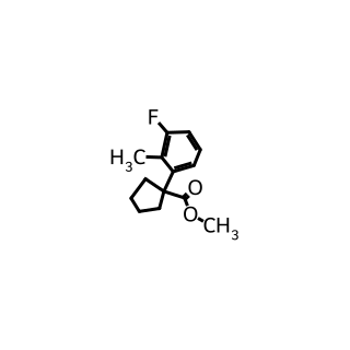 COC(=O)C1(c2cccc(F)c2C)CCCC1